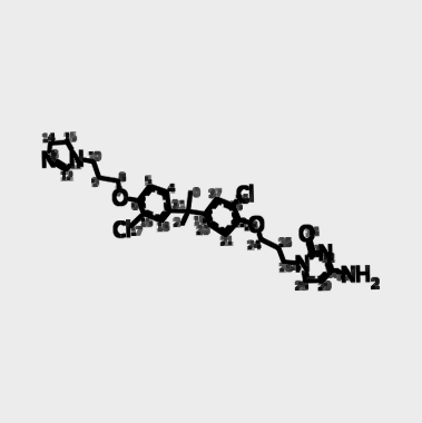 CC(C)(c1ccc(OCCCN2C=NCC2)c(Cl)c1)c1ccc(OCCCn2ccc(N)nc2=O)c(Cl)c1